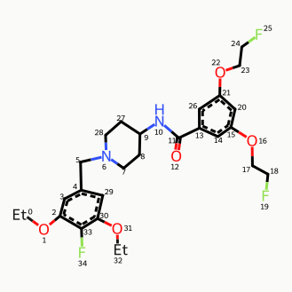 CCOc1cc(CN2CCC(NC(=O)c3cc(OCCF)cc(OCCF)c3)CC2)cc(OCC)c1F